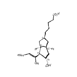 CCCCCCC=C(O)[C@H]1[C@H]2C[C@@H](CCCCC(=O)O)C[C@H]2C[C@@H]1O